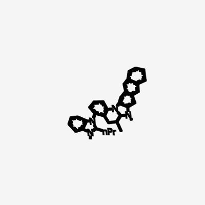 CCCC1N(C)c2ccccc2N1c1cccc2c1CC(C)C1N(C)c3cc4cc5ccccc5cc4cc3N21